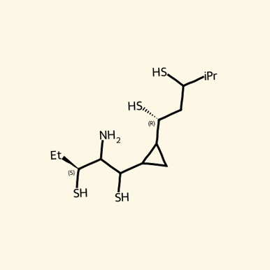 CC[C@H](S)C(N)C(S)C1CC1[C@H](S)CC(S)C(C)C